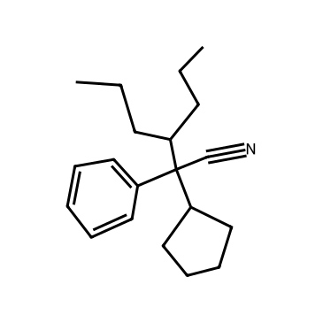 CCCC(CCC)C(C#N)(c1ccccc1)C1CCCC1